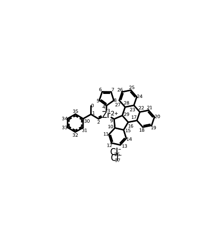 CC(/[CH]=[Zr+2](\[C]1=CC=CC1)[CH]1C2C=CC=CC2C2C3C=CC=CC3C3C=CC=CC3C21)c1ccccc1.[Cl-].[Cl-]